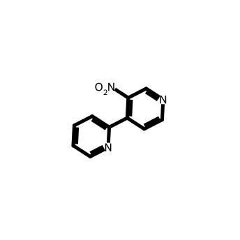 O=[N+]([O-])c1cnccc1-c1ccccn1